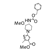 COC(=O)c1cc(N2CC[C@@H](NC(=O)OCc3ccccc3)[C@@H](OC)C2)sc1C